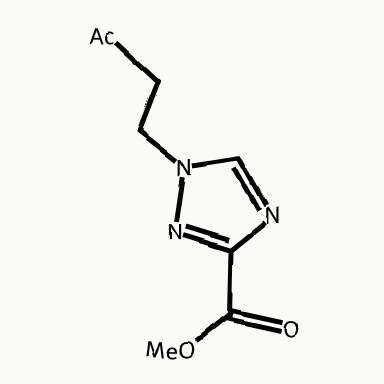 COC(=O)c1ncn(CCC(C)=O)n1